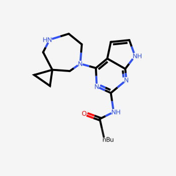 CCCCC(=O)Nc1nc(N2CCNCC3(CC3)C2)c2cc[nH]c2n1